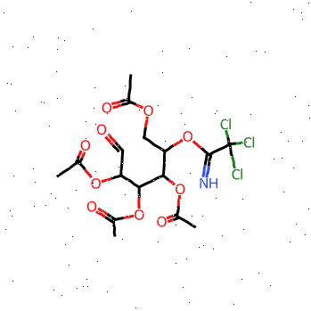 CC(=O)OCC(OC(=N)C(Cl)(Cl)Cl)C(OC(C)=O)C(OC(C)=O)C(C=O)OC(C)=O